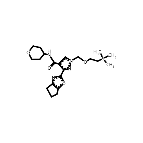 CS(C)(C)CCOCn1cc(C(=O)NC2CCOCC2)c(-c2nc3c(s2)CCC3)n1